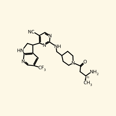 C[C@H](N)CC(=O)N1CCC(CNc2ncc(C#N)c(C3CNc4ncc(C(F)(F)F)cc43)n2)CC1